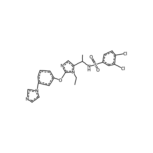 CCn1c(C(C)NS(=O)(=O)c2ccc(Cl)c(Cl)c2)cnc1Oc1cccc(-n2ccnc2)c1